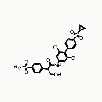 CS(=O)(=O)c1ccc([C@H](CO)C(=O)Nc2cc(Cl)c(-c3ccc(S(=O)(=O)C4CC4)cc3)c(Cl)c2)cc1